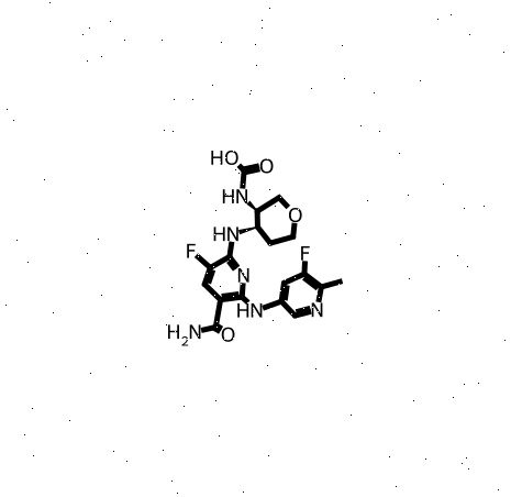 Cc1ncc(Nc2nc(N[C@@H]3CCOC[C@@H]3NC(=O)O)c(F)cc2C(N)=O)cc1F